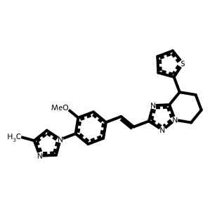 COc1cc(C=Cc2nc3n(n2)CCCC3c2cccs2)ccc1-n1cnc(C)c1